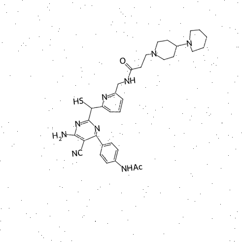 CC(=O)Nc1ccc(-c2nc(C(S)c3cccc(CNC(=O)CCN4CCC(N5CCCCC5)CC4)n3)nc(N)c2C#N)cc1